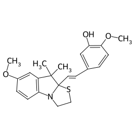 COc1ccc2c(c1)C(C)(C)C1(/C=C/c3ccc(OC)c(O)c3)SCCN21